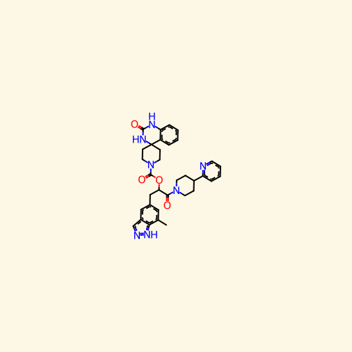 Cc1cc(CC(OC(=O)N2CCC3(CC2)NC(=O)Nc2ccccc23)C(=O)N2CCC(c3ccccn3)CC2)cc2cn[nH]c12